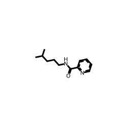 C[C](C)CCCNC(=O)c1ccccn1